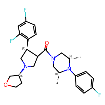 C[C@@H]1CN(C(=O)C2CN([C@H]3CCOC3)C[C@H]2c2ccc(F)cc2F)C[C@H](C)N1c1ccc(F)cc1